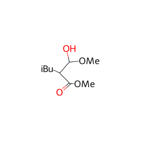 CCC(C)C(C(=O)OC)C(O)OC